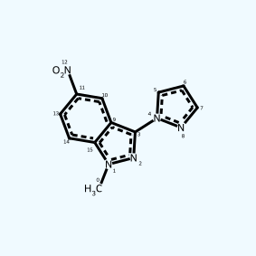 Cn1nc(-n2cccn2)c2cc([N+](=O)[O-])ccc21